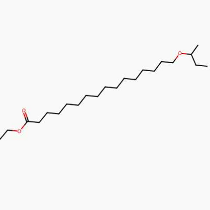 CCOC(=O)CCCCCCCCCCCCCCCOC(C)CC